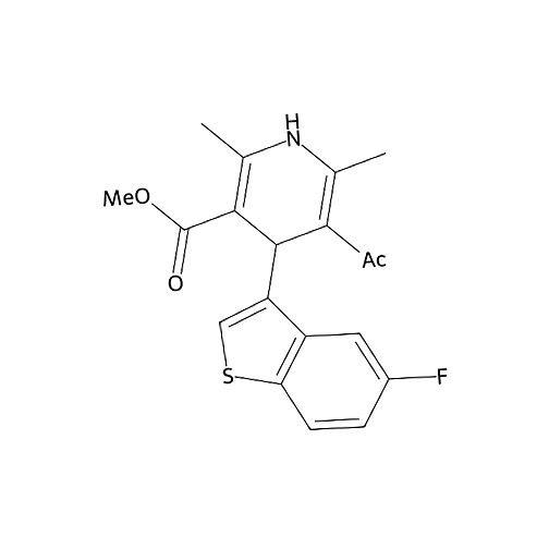 COC(=O)C1=C(C)NC(C)=C(C(C)=O)C1c1csc2ccc(F)cc12